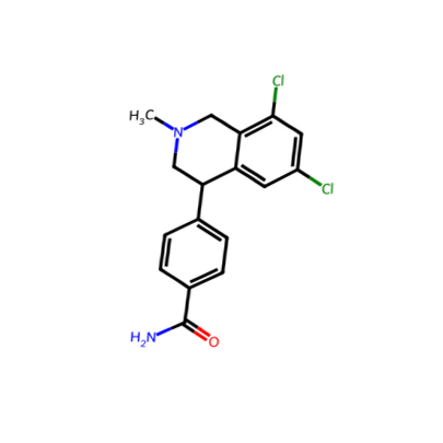 CN1Cc2c(Cl)cc(Cl)cc2C(c2ccc(C(N)=O)cc2)C1